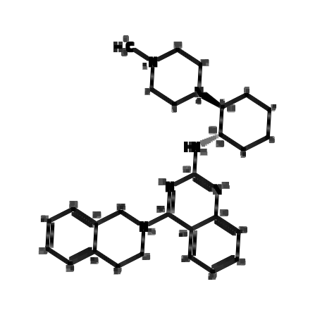 CN1CCN([C@H]2CCCC[C@@H]2Nc2nc(N3CCc4ccccc4C3)c3ccccc3n2)CC1